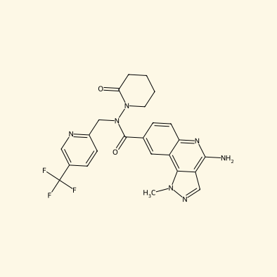 Cn1ncc2c(N)nc3ccc(C(=O)N(Cc4ccc(C(F)(F)F)cn4)N4CCCCC4=O)cc3c21